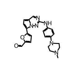 CN1CCN(c2ccc(Nc3ncc4ccc(-c5ccc(C=O)o5)n4n3)cc2)CC1